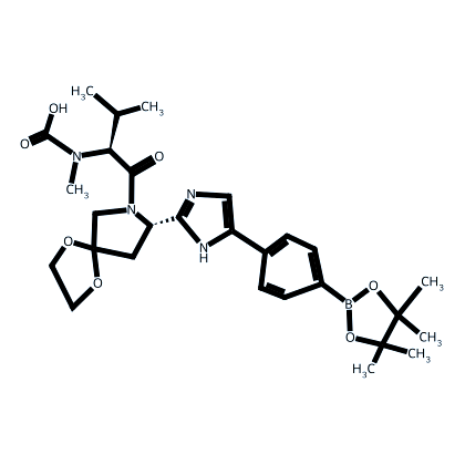 CC(C)[C@@H](C(=O)N1CC2(C[C@H]1c1ncc(-c3ccc(B4OC(C)(C)C(C)(C)O4)cc3)[nH]1)OCCO2)N(C)C(=O)O